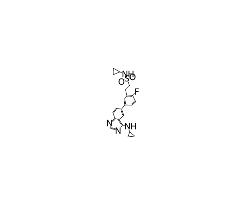 O=S(=O)(CCc1cc(-c2ccc3ncnc(NC4CC4)c3c2)ccc1F)NC1CC1